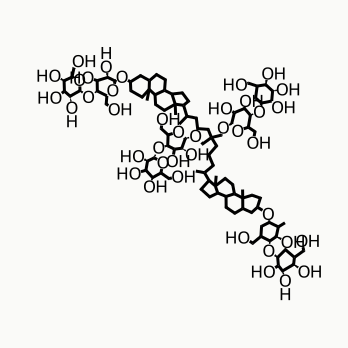 CC(CCCC(CCCC(C)C1CCC2C3CCC4CC(O[C@@H]5CC(CO)[C@@H](O[C@H]6CC(CO)[C@@H](O)[C@H](O)C6O)[C@H](O)C5C)CCC4(C)C3CCC12C)(CO[C@@H]1OC(CO)[C@@H](O[C@H]2CC(CO)[C@@H](O)[C@H](O)C2O)[C@H](O)C1O)CO[C@H]1OC(CO)[C@H](O[C@@H]2OC(CO)[C@H](O)C(O)[C@H]2O)C(O)[C@H]1O)C1CCC2C3CCC4CC(O[C@H]5OC(CO)[C@H](O[C@@H]6OC(CO)[C@H](O)C(O)[C@H]6O)C(O)[C@H]5O)CCC4(C)C3CCC12C